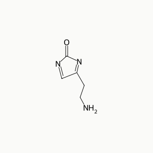 NCCC1=NC(=O)N=C1